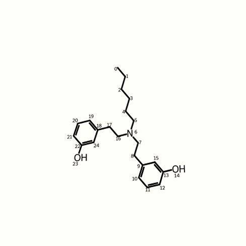 CCCCCCN(CCc1cccc(O)c1)CCc1cccc(O)c1